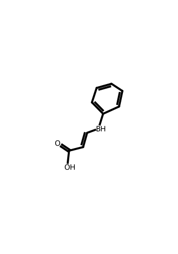 O=C(O)/C=C/Bc1ccccc1